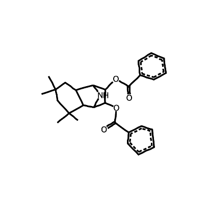 CC1(C)CC2C3NC(C(OC(=O)c4ccccc4)C3OC(=O)c3ccccc3)C2C(C)(C)C1